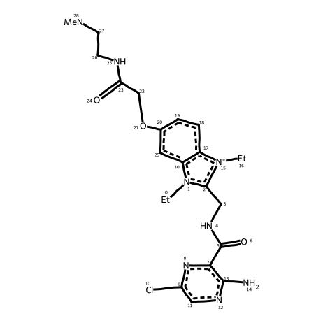 CCn1c(CNC(=O)c2nc(Cl)cnc2N)[n+](CC)c2ccc(OCC(=O)NCCNC)cc21